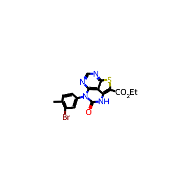 CCOC(=O)c1sc2ncnc3c2c1NC(=O)N3c1ccc(C)c(Br)c1